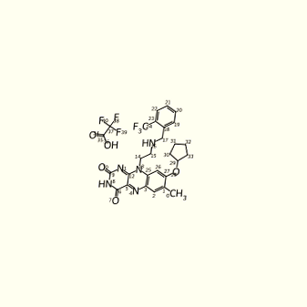 Cc1cc2nc3c(=O)[nH]c(=O)nc-3n(CCNCc3ccccc3C(F)(F)F)c2cc1OC1CCCC1.O=C(O)C(F)(F)F